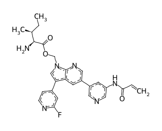 C=CC(=O)Nc1cncc(-c2cnc3c(c2)c(-c2ccnc(F)c2)cn3COC(=O)[C@@H](N)[C@@H](C)CC)c1